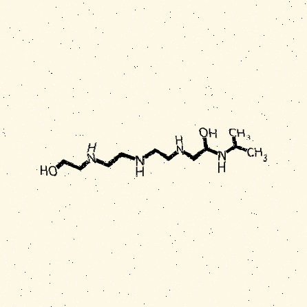 CC(C)NC(O)CNCCNCCNCCO